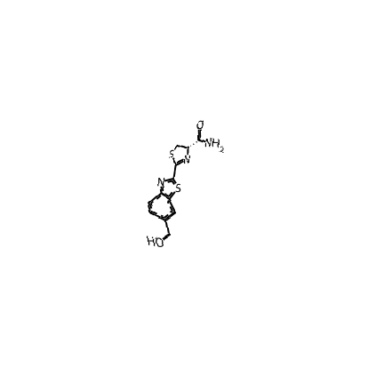 NC(=O)[C@H]1CSC(c2nc3ccc(CO)cc3s2)=N1